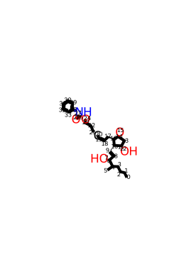 CCCCC(C)[C@H](O)/C=C/[C@H]1[C@H](O)CC(=O)[C@@H]1C/C=C\CCCCOC(=O)Nc1ccccc1